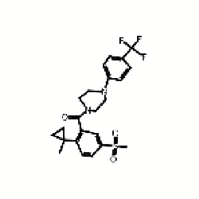 CC1(c2ccc(S(C)(=O)=O)cc2C(=O)N2CCN(c3ccc(C(F)(F)F)cc3)CC2)CC1